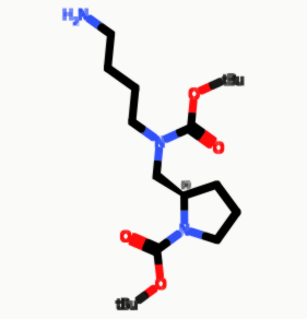 CC(C)(C)OC(=O)N(CCCCN)C[C@H]1CCCN1C(=O)OC(C)(C)C